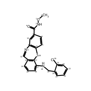 CONC(=O)c1ccc2c(c1)N=Cc1cccc(NCc3ccccc3Cl)c1S2